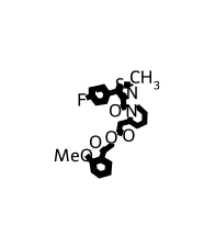 COc1ccccc1C(=O)COC(=O)CC1CCCCN1C(=O)c1nc(C)sc1-c1ccc(F)cc1